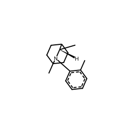 Cc1ccccc1N1[C@@H](C)C2CCC1(C)CC2